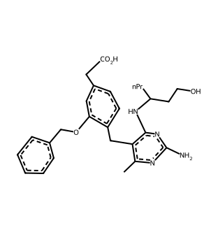 CCCC(CCO)Nc1nc(N)nc(C)c1Cc1ccc(CC(=O)O)cc1OCc1ccccc1